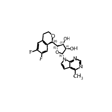 Cc1ncnc2c1ccn2[C@@H]1O[C@H]([C@@H]2OCCc3cc(F)c(F)cc32)[C@@H](O)[C@H]1O